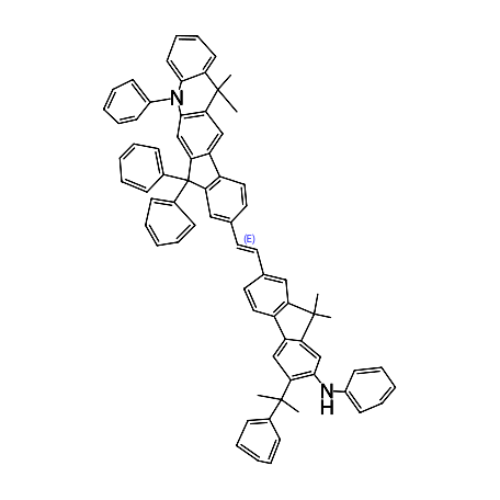 CC(C)(c1ccccc1)c1cc2c(cc1Nc1ccccc1)C(C)(C)c1cc(/C=C/c3ccc4c(c3)C(c3ccccc3)(c3ccccc3)c3cc5c(cc3-4)C(C)(C)c3ccccc3N5c3ccccc3)ccc1-2